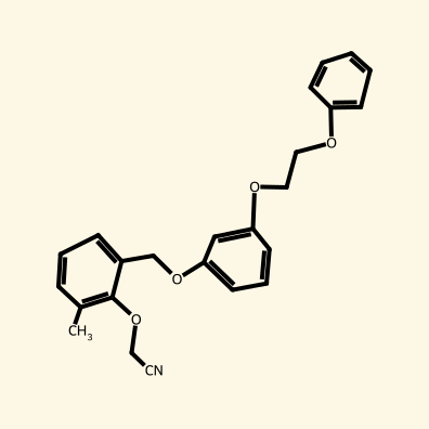 Cc1cccc(COc2cccc(OCCOc3ccccc3)c2)c1OCC#N